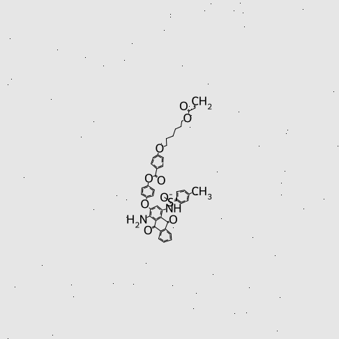 C=CC(=O)OCCCCCCOc1ccc(C(=O)Oc2ccc(Oc3cc(N[S+]([O-])c4ccc(C)cc4)c4c(c3N)C(=O)c3ccccc3C4=O)cc2)cc1